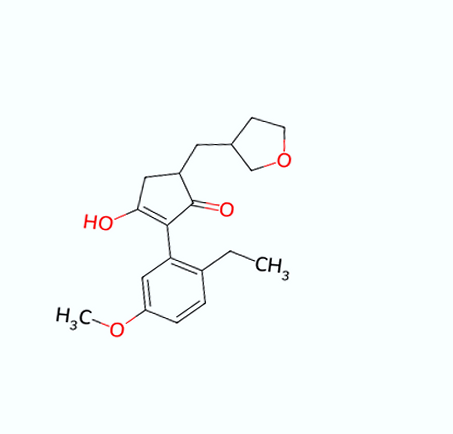 CCc1ccc(OC)cc1C1=C(O)CC(CC2CCOC2)C1=O